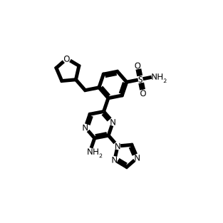 Nc1ncc(-c2cc(S(N)(=O)=O)ccc2CC2CCOC2)nc1-n1cncn1